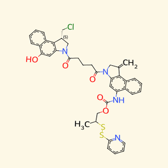 C=C1CN(C(=O)CCCC(=O)N2C[C@@H](CCl)c3c2cc(O)c2ccccc32)c2cc(NC(=O)OCC(C)SSc3ccccn3)c3ccccc3c21